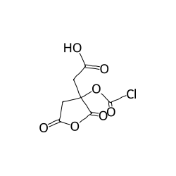 O=C(O)CC1(OC(=O)Cl)CC(=O)OC1=O